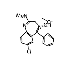 CNC1=Nc2ccc(Cl)cc2C(c2ccccc2)=[N+](O)C1.C[O-]